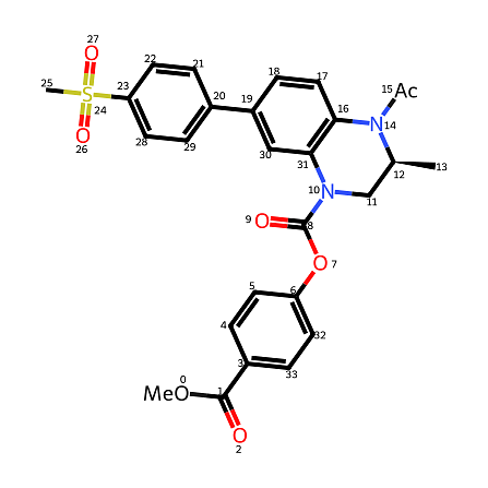 COC(=O)c1ccc(OC(=O)N2C[C@H](C)N(C(C)=O)c3ccc(-c4ccc(S(C)(=O)=O)cc4)cc32)cc1